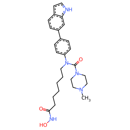 CN1CCN(C(=O)N(CCCCCCC(=O)NO)c2ccc(-c3ccc4cc[nH]c4c3)cc2)CC1